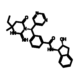 CCC1(C)CC(=O)N([C@H](c2cncnc2)c2cccc(C(=O)N[C@@H]3c4ccccc4C[C@H]3O)c2)C(=N)N1